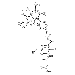 COC(=O)C[C@@H]1CCCN(C(=O)[C@H](CN2CC(c3ccc4c(c3)c(CC(C)(C)CO)c(C3=C([C@H](C)OC)N=CCC3)n4CC(F)(F)F)C2)NC(=O)OC(C)(C)C)N1